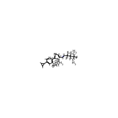 CCS(=O)(=O)c1cc(C2CC2)cnc1-c1ncc(/C=C/C(F)(F)C(F)(F)C(C)(C)F)n1C